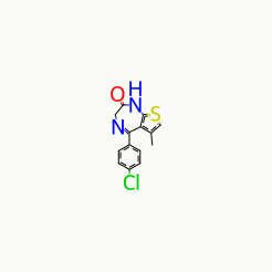 Cc1csc2c1C(c1ccc(Cl)cc1)=NCC(=O)N2